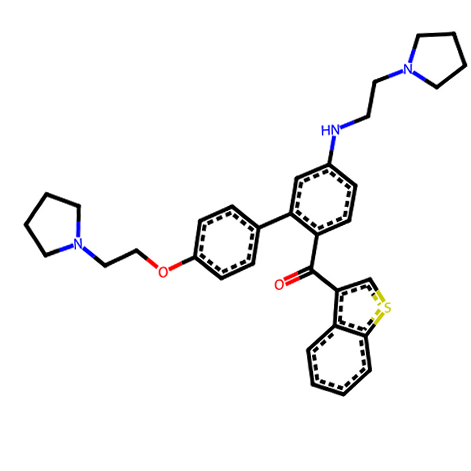 O=C(c1ccc(NCCN2CCCC2)cc1-c1ccc(OCCN2CCCC2)cc1)c1csc2ccccc12